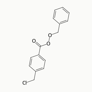 O=C(OOCc1ccccc1)c1ccc(CCl)cc1